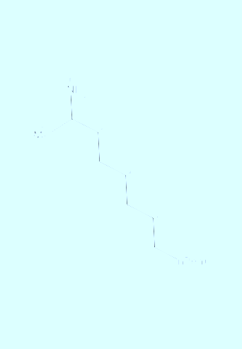 CCCCCCCCCCC[CH](N)[Mo]